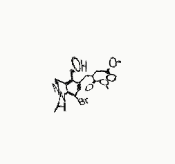 COC(=O)CC(Cc1cc(Br)c2[nH]ncc2c1CO)C(=O)OC